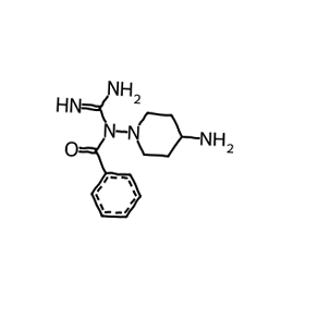 N=C(N)N(C(=O)c1ccccc1)N1CCC(N)CC1